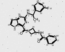 CC(Nc1nc(C(=O)N2CC(NC(=O)c3cccnc3)C2)c2sccc2n1)c1cncc(F)c1